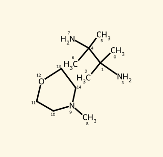 CC(C)(N)C(C)(C)N.CN1CCOCC1